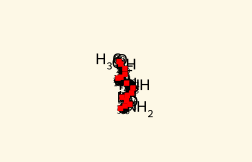 CS(=O)(=O)NCc1cc(F)cc(-c2cccc3[nH]c(-c4n[nH]c5cnc(-c6cncc(C(C(N)=O)c7ccccc7)c6)cc45)nc23)c1